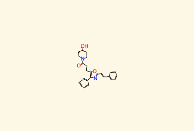 O=C(CCc1oc(C=Cc2ccccc2)nc1-c1ccccc1)N1CCC(O)CC1